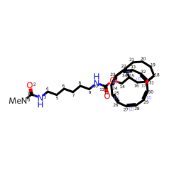 CNC(=O)NCCCCCCNC(=O)OCC1CCC2CCCC1C1=C/C=C\C=C/C=C\C2=C/C=C\1